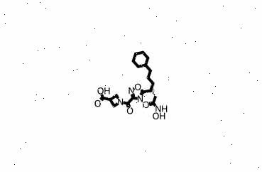 O=C(C[C@@H](CCCC1CCCCC1)c1nc(C(=O)N2CC(C(=O)O)C2)no1)NO